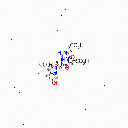 N[C@@H](CCC(=O)O)C(=O)N[C@@H](CCC(=O)O)C(=O)NCC(=O)N[C@@H](Cc1ccc(O)cc1)C(=O)O